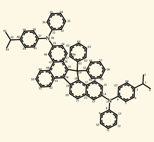 CC(C)c1ccc(N(c2ccccc2)c2ccc3c4c(ccc3c2)-c2c(c3ccc(N(c5ccccc5)c5ccc(C(C)C)cc5)cc3c3ccccc23)C4(c2ccccc2)c2ccccc2)cc1